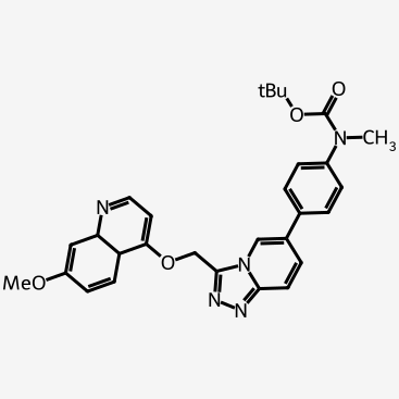 COC1=CC2N=CC=C(OCc3nnc4ccc(-c5ccc(N(C)C(=O)OC(C)(C)C)cc5)cn34)C2C=C1